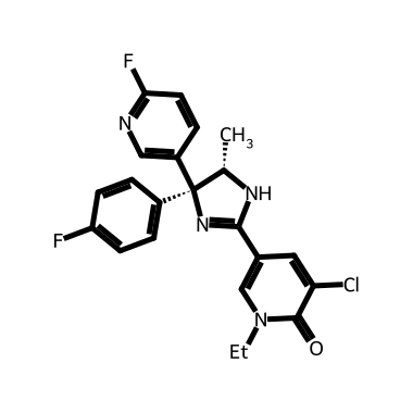 CCn1cc(C2=N[C@@](c3ccc(F)cc3)(c3ccc(F)nc3)[C@H](C)N2)cc(Cl)c1=O